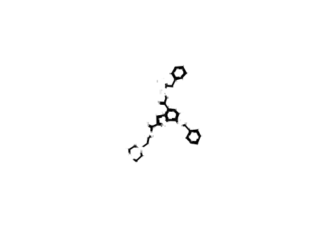 CCCC(Cc1ccccc1)NCC(=O)c1ccc(OCc2ccccc2)c2[nH]c(C(=O)OCCN3CCOCC3)cc12